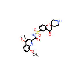 COc1cc(C(=O)NS(=O)(=O)c2ccc3c(c2)C(=O)CC2(CCNCC2)O3)nc2c(OC)cccc12